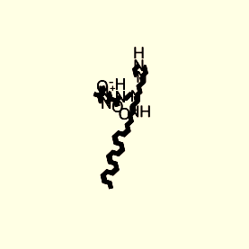 CC/C=C\C/C=C\C/C=C\C/C=C\C/C=C\C/C=C\CCC(=O)NCCN(CCCN1CCNCC1)CCNC(=O)c1c[n+]([O-])c(C)cn1